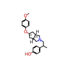 COc1ccc(O[C@H]2C[C@@H]3CN(CC(C)c4ccc(O)cc4)C[C@@H]3C2)cc1